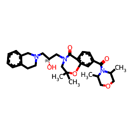 CC1COCC(C)N1C(=O)c1ccc2c(c1)OC(C)(C)CN(C[C@H](O)CN1CCc3ccccc3C1)C2=O